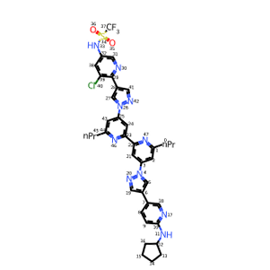 CCCc1cc(-n2cc(-c3ccc(NC4CCCC4)nc3)cn2)cc(-c2cc(-n3cc(-c4ncc(NS(=O)(=O)C(F)(F)F)cc4Cl)cn3)cc(CCC)n2)n1